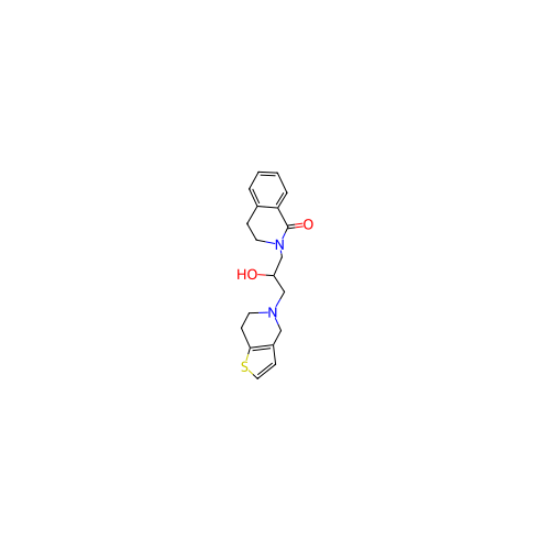 O=C1c2ccccc2CCN1CC(O)CN1CCc2sccc2C1